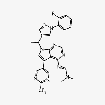 CC(c1cnn(-c2ccccc2F)c1)n1cc(-c2cnc(C(F)(F)F)nc2)c2c(N=CN(C)C)ncnc21